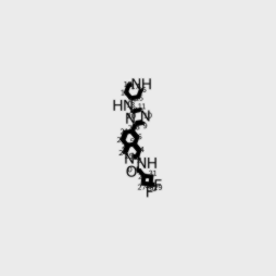 O=C(Nc1cc2cc(-c3cncc(NC4CCNCC4)n3)ccc2cn1)C1CC(F)(F)C1